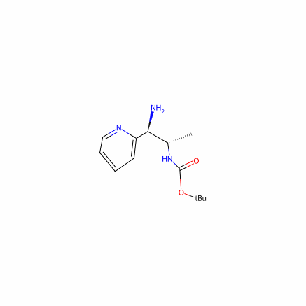 C[C@H](NC(=O)OC(C)(C)C)[C@H](N)c1ccccn1